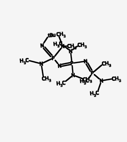 CN(C)P(C)(C)=NP(=NP(=NC(C)(C)C)(N(C)C)N(C)C)(N(C)C)N(C)C